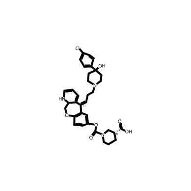 O=C(O)[C@@H]1CCCN(C(=O)Oc2ccc3c(c2)/C(=C/CCN2CCC(O)(c4ccc(Cl)cc4)CC2)C2=CC=CNC2CO3)C1